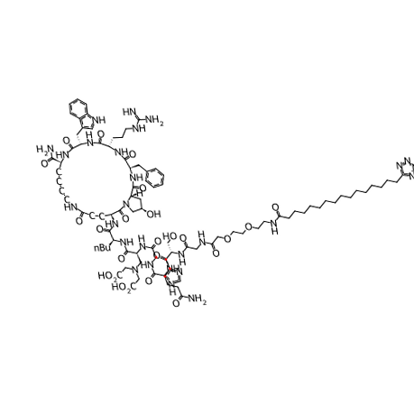 CCCC[C@H](NC(=O)[C@H](CN(CC(=O)O)CC(=O)O)NC(=O)[C@H](Cc1c[nH]cn1)NC(=O)[C@H](CCC(N)=O)NC(=O)[C@H](CO)NC(=O)CNC(=O)COCCOCCNC(=O)CCCCCCCCCCCCCCCc1nnn[nH]1)C(=O)N[C@H]1CCC(=O)NCCCC[C@@H](C(N)=O)NC(=O)[C@H](Cc2c[nH]c3ccccc23)NC(=O)[C@H](CCCNC(=N)N)NC(=O)[C@@H](Cc2ccccc2)NC(=O)[C@@H]2C[C@@H](O)CN2C1=O